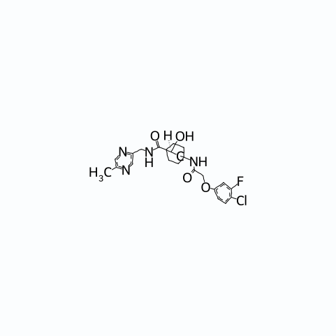 Cc1cnc(CNC(=O)C23CCC(NC(=O)COc4ccc(Cl)c(F)c4)(CC2)C[C@@H]3O)cn1